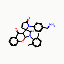 Cc1cccc(C)c1N1C(=O)C2(C=CC(=O)N2c2ccc(CN)cc2)C2C(=O)c3ccccc3OC21